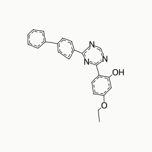 CCOc1ccc(-c2ncnc(-c3ccc(-c4ccccc4)cc3)n2)c(O)c1